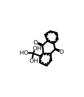 O=C1c2ccccc2C(=O)c2c1cccc2C(O)(O)O